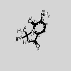 CC(C)C1(C)NC(=O)c2ccc(N)c(=O)n21